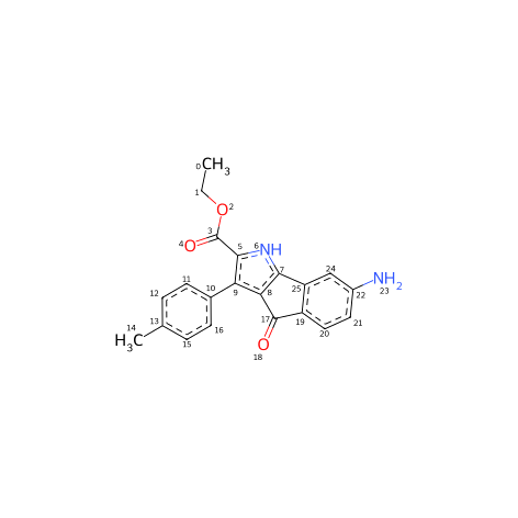 CCOC(=O)c1[nH]c2c(c1-c1ccc(C)cc1)C(=O)c1ccc(N)cc1-2